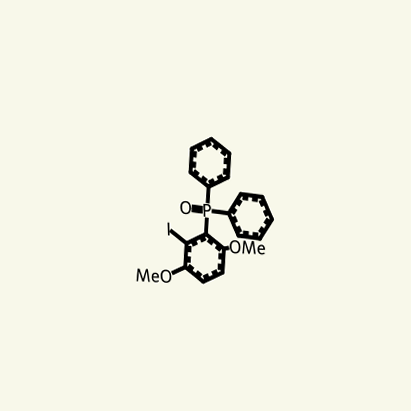 COc1ccc(OC)c(P(=O)(c2ccccc2)c2ccccc2)c1I